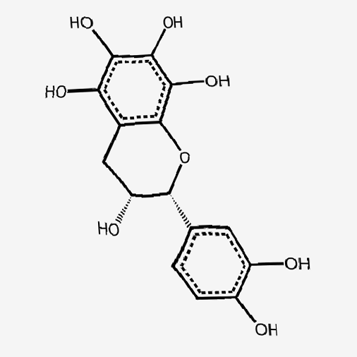 Oc1ccc([C@H]2Oc3c(O)c(O)c(O)c(O)c3C[C@H]2O)cc1O